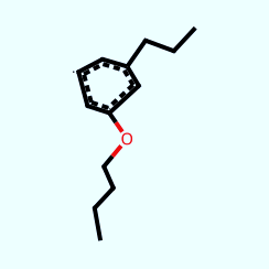 CCCCOc1c[c]cc(CCC)c1